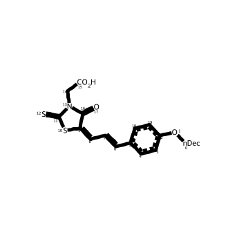 CCCCCCCCCCOc1ccc(C=CC=C2SC(=S)N(CC(=O)O)C2=O)cc1